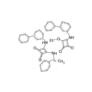 CCOc1c(Nc2cccc(-c3ccccc3)c2)c(=O)c1=O.C[C@@H](Nc1c(Nc2cccc(-c3ccccc3)c2)c(=O)c1=O)c1ccccc1